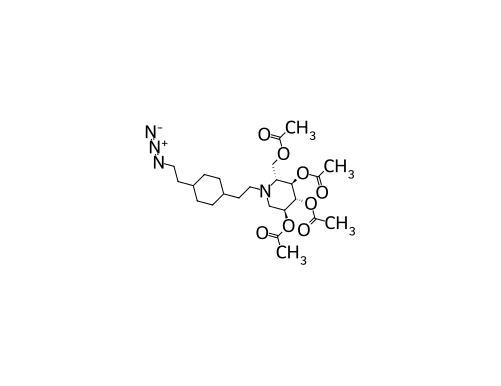 CC(=O)OC[C@@H]1[C@@H](OC(C)=O)[C@H](OC(C)=O)[C@@H](OC(C)=O)CN1CCC1CCC(CCN=[N+]=[N-])CC1